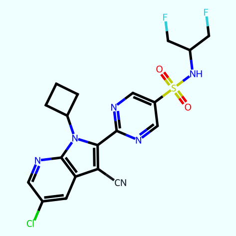 N#Cc1c(-c2ncc(S(=O)(=O)NC(CF)CF)cn2)n(C2CCC2)c2ncc(Cl)cc12